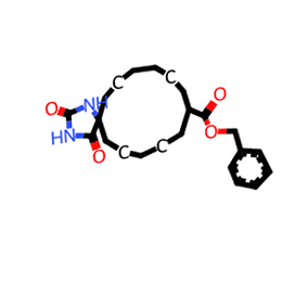 O=C1NC(=O)C2(CCCCCCC(C(=O)OCc3ccccc3)CCCCC2)N1